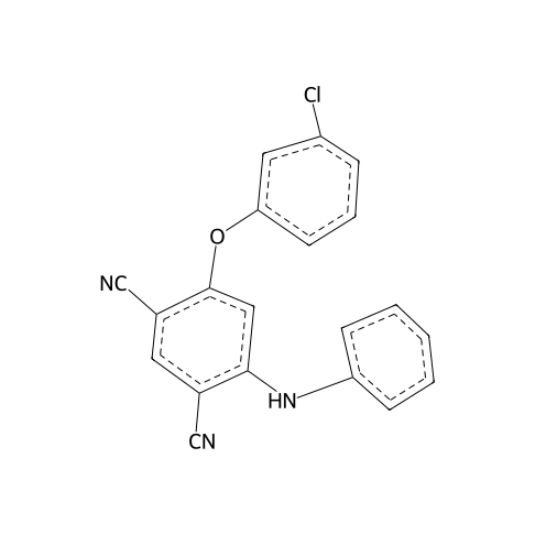 N#Cc1cc(C#N)c(Oc2cccc(Cl)c2)cc1Nc1ccccc1